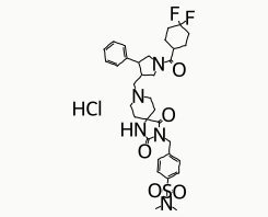 CN(C)S(=O)(=O)c1ccc(CN2C(=O)NC3(CCN(CC4CN(C(=O)C5CCC(F)(F)CC5)CC4c4ccccc4)CC3)C2=O)cc1.Cl